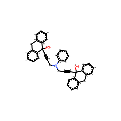 OC1(C#CCN(CC#CC2(O)c3ccccc3Cc3ccccc32)c2ccccc2)c2ccccc2Cc2ccccc21